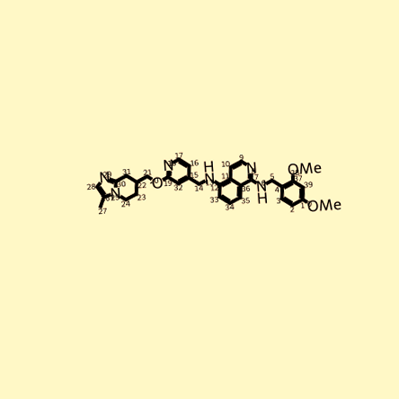 COc1ccc(CNc2nccc3c(NCc4ccnc(OCC5CCn6c(C)cnc6C5)c4)cccc23)c(OC)c1